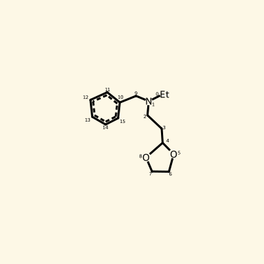 CCN(CCC1OCCO1)Cc1ccccc1